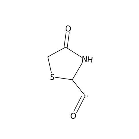 O=[C]C1NC(=O)CS1